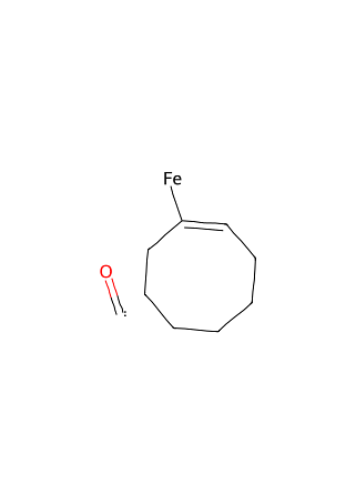 [C]=O.[Fe]/[C]1=C/CCCCCC1